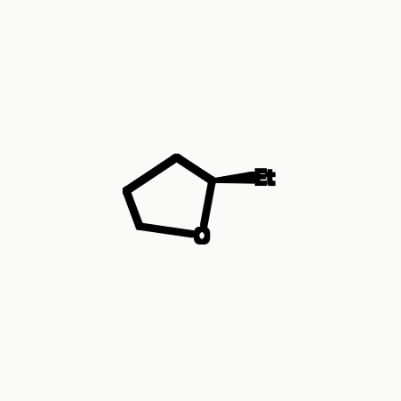 CC[C@@H]1CCCO1